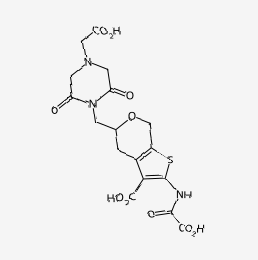 O=C(O)CN1CC(=O)N(CC2Cc3c(sc(NC(=O)C(=O)O)c3C(=O)O)CO2)C(=O)C1